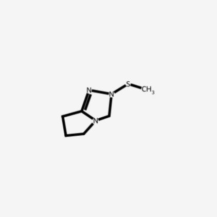 CSN1CN2CCCC2=N1